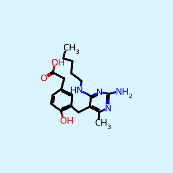 CCCCCNc1nc(N)nc(C)c1Cc1cc(CC(=O)O)ccc1O